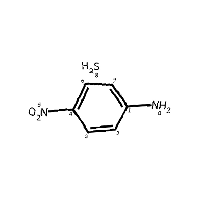 Nc1ccc([N+](=O)[O-])cc1.S